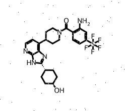 Nc1cc(S(F)(F)(F)(F)F)ccc1C(=O)N1CCC(c2ccnc3[nH]c([C@H]4CC[C@H](O)CC4)nc23)CC1